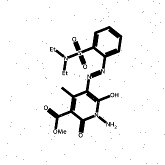 CCN(CC)S(=O)(=O)c1ccccc1/N=N/c1c(C)c(C(=O)OC)c(=O)n(N)c1O